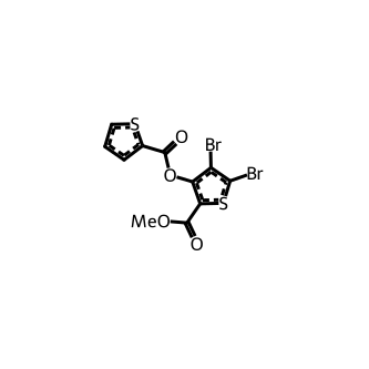 COC(=O)c1sc(Br)c(Br)c1OC(=O)c1cccs1